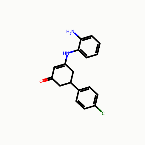 Nc1ccccc1NC1=CC(=O)CC(c2ccc(Cl)cc2)C1